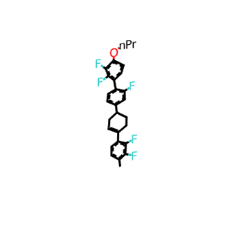 CCCOc1ccc(-c2ccc(C3CC=C(c4ccc(C)c(F)c4F)CC3)cc2F)c(F)c1F